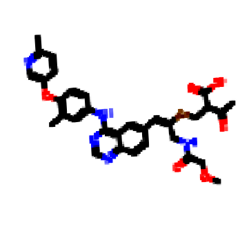 COCC(=O)NC/C(=C\c1ccc2ncnc(Nc3ccc(Oc4ccc(C)nc4)c(C)c3)c2c1)SCC(C(C)=O)C(=O)O